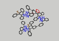 c1ccc(-c2nc(-n3c4ccccc4c4c5ccc(-c6cccc(-c7nc(-n8c9ccccc9c9c%10c%11ccc(-c%12ccccc%12-c%12nc(-n%13c%14ccccc%14c%14c%15c%16ccccc%16sc%15c%15ccccc%15c%14%13)nc%13ccccc%12%13)cc%11oc%10c%10ccccc%10c98)nc8ccccc78)c6)cc5c5c6ccccc6sc5c43)nc3c2ccc2ccccc23)cc1